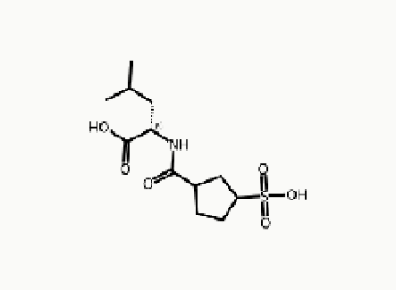 CC(C)C[C@H](NC(=O)C1CCC(S(=O)(=O)O)C1)C(=O)O